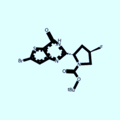 CC(C)(C)OC(=O)N1C[C@H](F)C[C@H]1c1nc2cc(Br)sc2c(=O)[nH]1